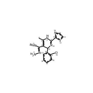 CN/C(=N\N)C1=C(C)NC(c2nccs2)=NC1c1ccccc1Cl